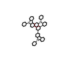 c1ccc(N(c2ccccc2)c2ccccc2-c2cc(-c3ccc4c(c3)c3ccccc3n4-c3ccccc3)cc(-c3ccc4c(c3)c3ccccc3n4-c3ccccc3)c2)cc1